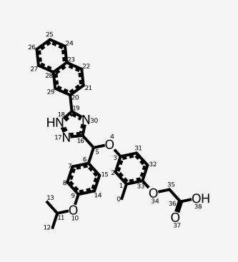 Cc1cc(OC(c2ccc(OC(C)C)cc2)c2n[nH]c(-c3ccc4ccccc4c3)n2)ccc1OCC(=O)O